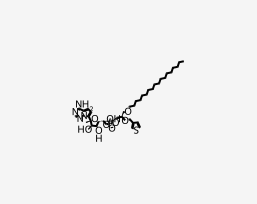 CCCCCCCCCCCCCCCCCCOC[C@H](COP(=O)(O)OC[C@H]1O[C@@](C)(c2ccc3c(N)ncnn23)[C@H](O)[C@@H]1O)OCc1ccsc1